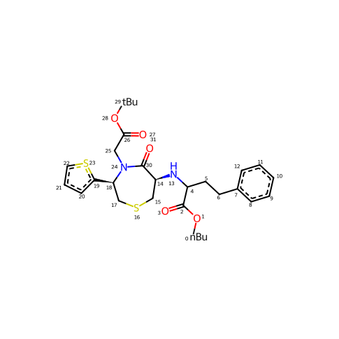 CCCCOC(=O)C(CCc1ccccc1)N[C@H]1CSC[C@@H](c2cccs2)N(CC(=O)OC(C)(C)C)C1=O